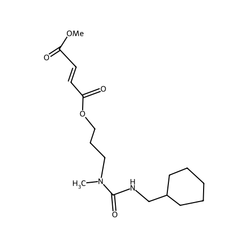 COC(=O)/C=C/C(=O)OCCCN(C)C(=O)NCC1CCCCC1